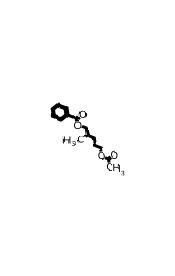 CC(=O)OCC/C=C(\C)COC(=O)c1ccccc1